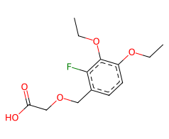 CCOc1ccc(COCC(=O)O)c(F)c1OCC